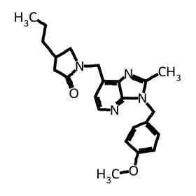 CCCC1CC(=O)N(Cc2ccnc3c2nc(C)n3Cc2ccc(OC)cc2)C1